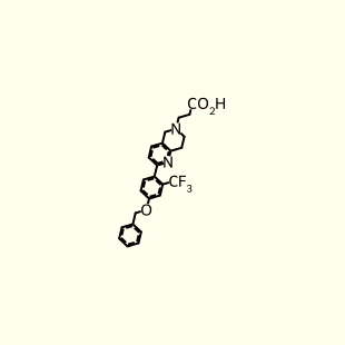 O=C(O)CCN1CCc2nc(-c3ccc(OCc4ccccc4)cc3C(F)(F)F)ccc2C1